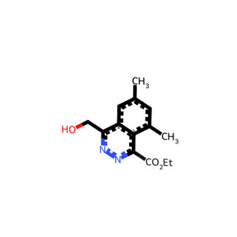 CCOC(=O)c1nnc(CO)c2cc(C)cc(C)c12